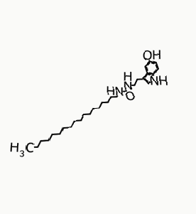 CCCCCCCCCCCCCCCCCCNC(=O)NCCc1c[nH]c2ccc(O)cc12